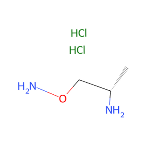 C[C@H](N)CON.Cl.Cl